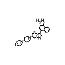 NCc1ccc(-c2cnn3cc(N4CCC(N5CCOCC5)CC4)cnc23)c2ccccc12